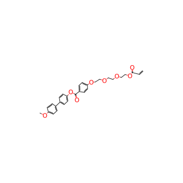 C=CC(=O)OCCOCCOCCOc1ccc(C(=O)Oc2ccc(-c3ccc(OC)cc3)cc2)cc1